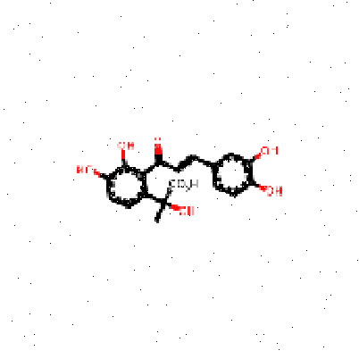 CC(O)(C(=O)O)c1ccc(O)c(O)c1C(=O)C=Cc1ccc(O)c(O)c1